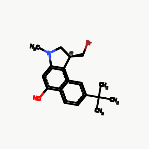 CN1C[C@@H](CBr)c2c1cc(O)c1ccc(C(C)(C)C)cc21